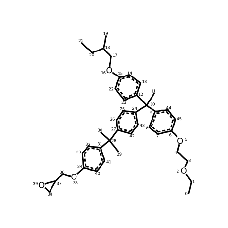 CCOCCOc1ccc(C(C)(c2ccc(OCC(C)CC)cc2)c2ccc(C(C)(C)c3ccc(OCC4CO4)cc3)cc2)cc1